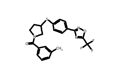 Cc1cccc(C(=O)N2CCC(Sc3ccc(-c4noc(C(F)(F)F)n4)cc3)C2)c1